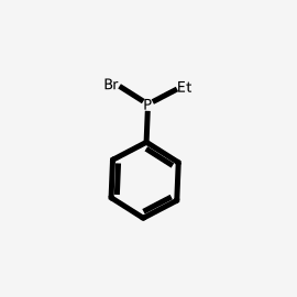 CCP(Br)c1ccccc1